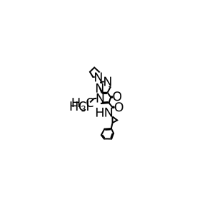 CCn1cc(C(=O)NC2CC2c2ccccc2)c(=O)c2cnc(N3CCCC3)nc21.Cl